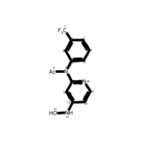 CC(=O)N(c1cccc(C(F)(F)F)c1)c1cc(NO)ccn1